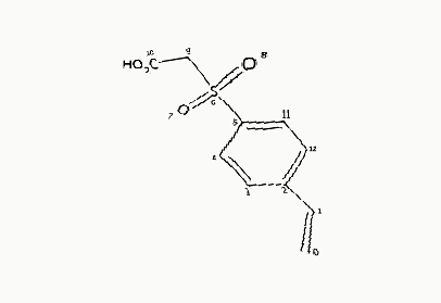 C=Cc1ccc(S(=O)(=O)CC(=O)O)cc1